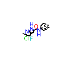 Cc1nc2[nH]c(C(=O)N[C@H]3CCC[Si](C)(C)CC3)cc2c(F)c1Cl